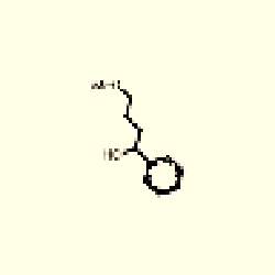 COCCCC(O)c1ccccc1